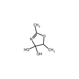 CC1=NC(O)(O)C(C)O1